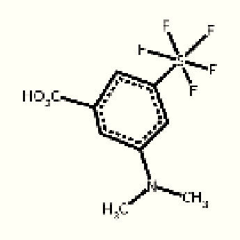 CN(C)c1cc(C(=O)O)cc(S(F)(F)(F)(F)F)c1